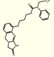 O=C(O)CN(C(=O)CCCCOc1cccc2c1N=C1NC(=O)CN1C2)c1ccccc1